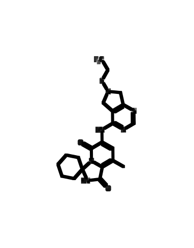 Cc1cc(Nc2ncnc3c2CN(SCC(F)(F)F)C3)c(=O)n2c1C(=O)NC21CCCCC1